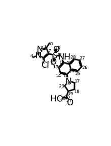 Cc1nn(C)c(Cl)c1S(=O)(=O)Nc1ccc(N2CCC(C(=O)O)C2)c2ccccc12